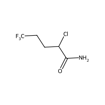 NC(=O)C(Cl)CCC(F)(F)F